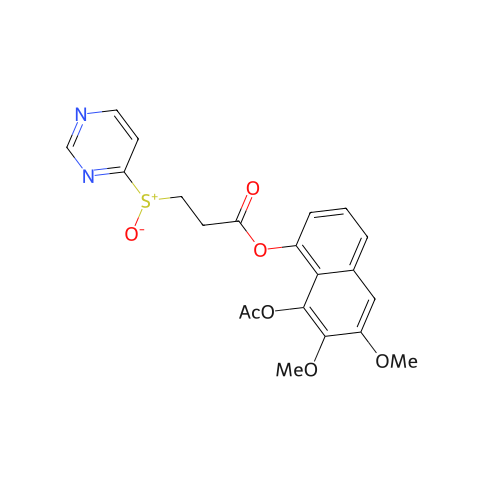 COc1cc2cccc(OC(=O)CC[S+]([O-])c3ccncn3)c2c(OC(C)=O)c1OC